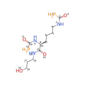 O=C(P)NCCCC[C@H](NC(=O)P)C(=O)NCCCO